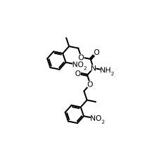 CC(COC(=O)N(N)C(=O)OCC(C)c1ccccc1[N+](=O)[O-])c1ccccc1[N+](=O)[O-]